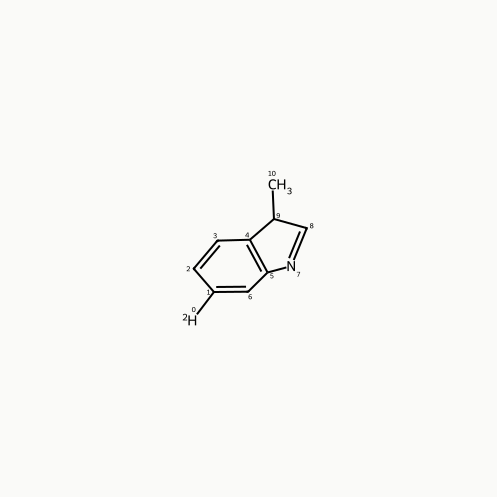 [2H]c1ccc2c(c1)N=CC2C